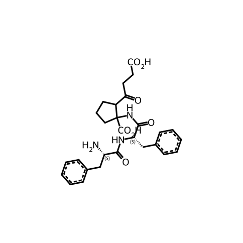 N[C@@H](Cc1ccccc1)C(=O)N[C@@H](Cc1ccccc1)C(=O)NC1(C(=O)O)CCCC1C(=O)CCC(=O)O